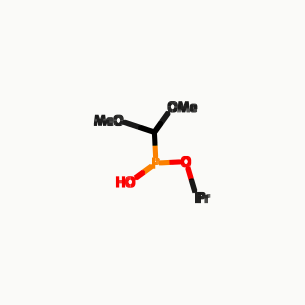 COC(OC)P(O)OC(C)C